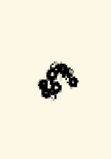 c1ccc(-c2nc3c(ccc4oc5ccc(N(c6ccccc6)c6cccc7sc8ccccc8c67)cc5c43)o2)cc1